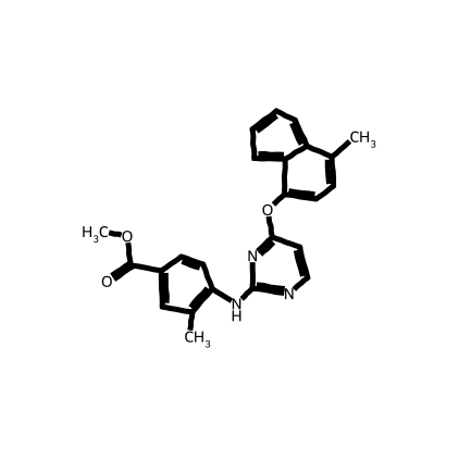 COC(=O)c1ccc(Nc2nccc(Oc3ccc(C)c4ccccc34)n2)c(C)c1